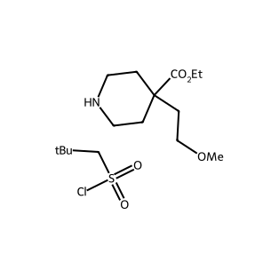 CC(C)(C)CS(=O)(=O)Cl.CCOC(=O)C1(CCOC)CCNCC1